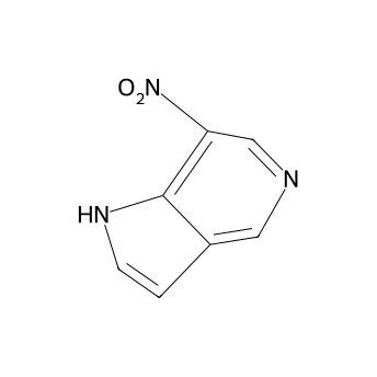 O=[N+]([O-])c1cncc2cc[nH]c12